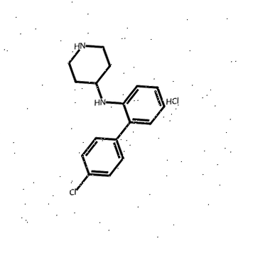 Cl.Clc1ccc(-c2ccccc2NC2CCNCC2)cc1